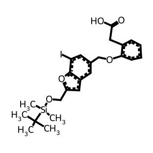 CC(C)(C)[Si](C)(C)OCc1cc2cc(COc3ccccc3CC(=O)O)cc(I)c2o1